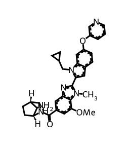 COc1cc(C(=O)N2C[C@H]3CC[C@@H]2[C@@H]3N)cc2nc(-c3cc4ccc(Oc5cccnc5)cc4n3CC3CC3)n(C)c12